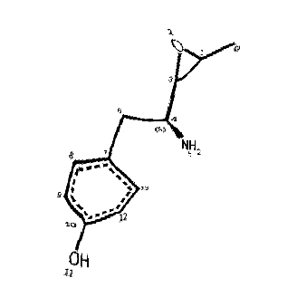 CC1OC1[C@@H](N)Cc1ccc(O)cc1